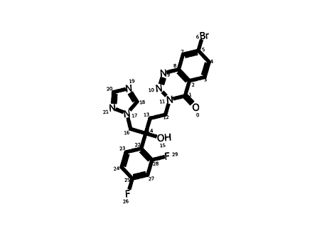 O=c1c2ccc(Br)cc2nnn1CCC(O)(Cn1cncn1)c1ccc(F)cc1F